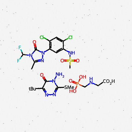 CSc1nnc(C(C)(C)C)c(=O)n1N.Cc1nn(-c2cc(NS(C)(=O)=O)c(Cl)cc2Cl)c(=O)n1C(F)F.O=C(O)CNCP(=O)(O)O